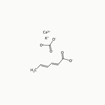 C/C=C/C=C/C(=O)[O-].O=C([O-])[O-].[Ca+2].[K+]